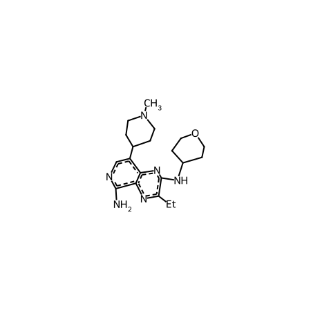 CCc1nc2c(N)ncc(C3CCN(C)CC3)c2nc1NC1CCOCC1